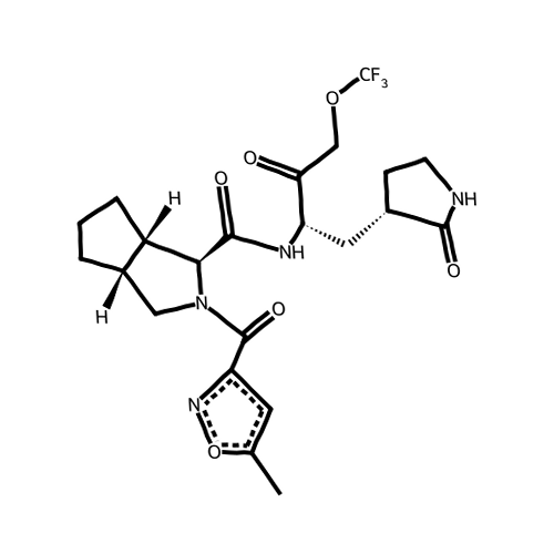 Cc1cc(C(=O)N2C[C@@H]3CCC[C@@H]3[C@H]2C(=O)N[C@@H](C[C@@H]2CCNC2=O)C(=O)COC(F)(F)F)no1